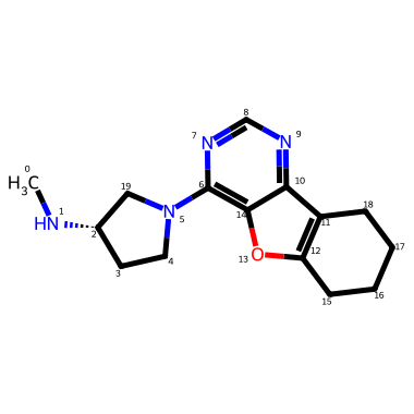 CN[C@H]1CCN(c2ncnc3c4c(oc23)CCCC4)C1